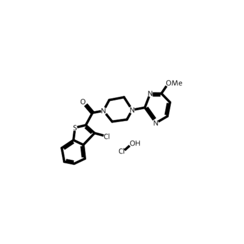 COc1ccnc(N2CCN(C(=O)c3sc4ccccc4c3Cl)CC2)n1.OCl